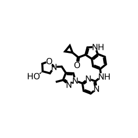 Cc1nn(-c2ccnc(Nc3ccc4[nH]cc(C(=O)C5CC5)c4c3)n2)cc1CN1C[C@H](O)CO1